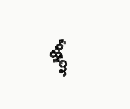 C=CC(=O)CC1CCC[C@@H](Nc2ncc(-c3ccc(C(F)(F)F)cn3)c3ncccc23)CC1